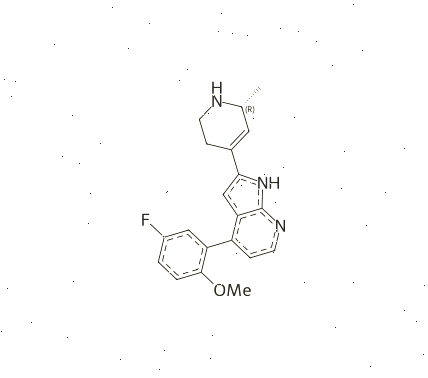 COc1ccc(F)cc1-c1ccnc2[nH]c(C3=C[C@@H](C)NCC3)cc12